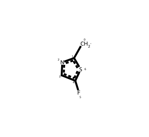 [CH2]c1ncc(F)s1